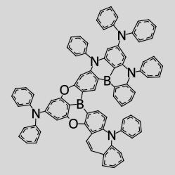 C1=Cc2c(ccc3c2Oc2cc(N(c4ccccc4)c4ccccc4)cc4c2B3c2cc3c(cc2O4)N(c2ccccc2)c2cc(N(c4ccccc4)c4ccccc4)cc4c2B3c2ccccc2N4c2ccccc2)N(c2ccccc2)c2ccccc21